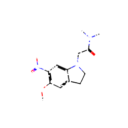 COc1cc2c(cc1[N+](=O)[O-])N(CC(=O)N(C)C)CC2